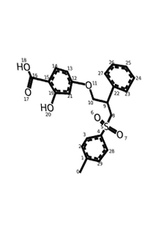 Cc1ccc(S(=O)(=O)CC(COc2ccc(C(=O)O)c(O)c2)c2ccccc2)cc1